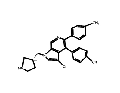 Cc1ccc(-c2ncc3c(c(Cl)cn3C[C@@H]3CCNC3)c2-c2ccc(C#N)cc2)cc1